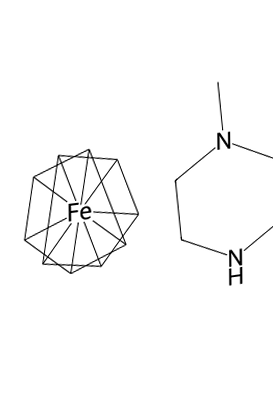 CN1CCNCC1.[CH]12[CH]3[CH]4[CH]5[CH]1[Fe]23451678[CH]2[CH]1[CH]6[CH]7[CH]28